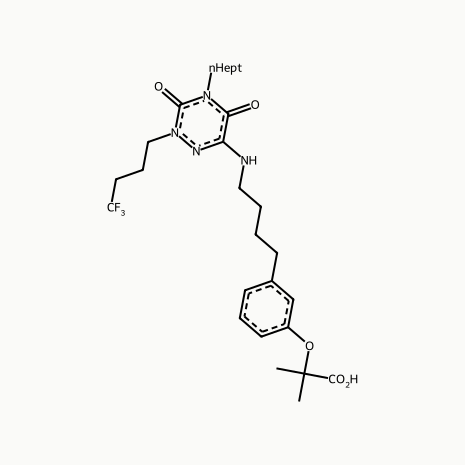 CCCCCCCn1c(=O)c(NCCCCc2cccc(OC(C)(C)C(=O)O)c2)nn(CCCC(F)(F)F)c1=O